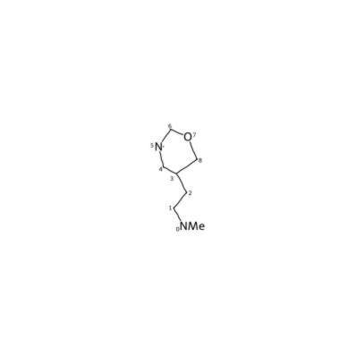 CNCCC1C[N]COC1